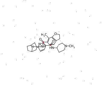 Cc1c(C(=O)NC2CC3CCC(C2)N3c2ccc(C(=O)NC3CCN(C)CC3)cn2)ccc2c1OCC2